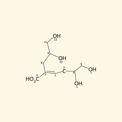 O=C(O)C(=CCC(O)CO)CC(O)CO